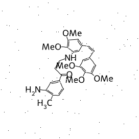 COc1cc(/C=C\c2cc(OC)c(OC)c(OC)c2)cc(N/C=C\C(=O)c2ccc(C)c(N)c2)c1OC